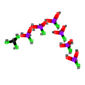 O=I(=O)Cl.O=I(=O)Cl.O=I(=O)Cl.O=I(=O)Cl.O=I(=O)Cl.O=I(=O)Cl.[Cl][Rh]([Cl])[Cl]